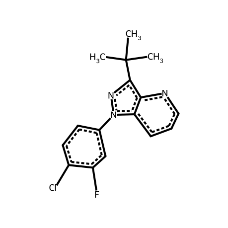 CC(C)(C)c1nn(-c2ccc(Cl)c(F)c2)c2cccnc12